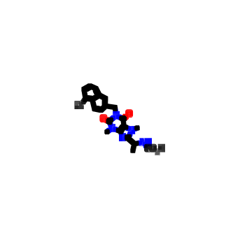 CCc1cccc2cc(Cn3c(=O)c4c(nc(C(C)NC(=O)O)n4C)n(C)c3=O)ccc12